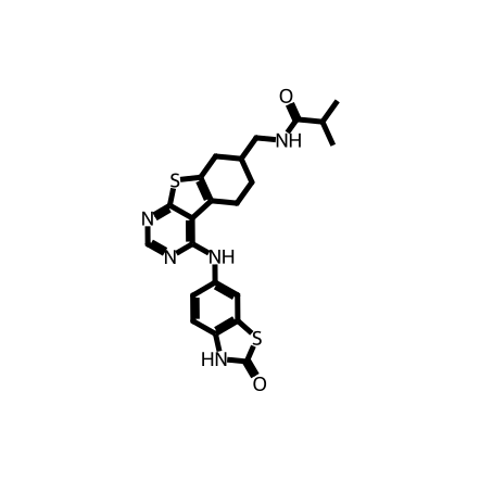 CC(C)C(=O)NCC1CCc2c(sc3ncnc(Nc4ccc5[nH]c(=O)sc5c4)c23)C1